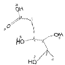 CC(O)C(O)C(O)CC(=O)O